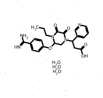 CCCN1C(=O)C(=O)N(C(CC(=O)O)c2cccnc2)CC1Oc1ccc(C(=N)N)cc1.O.O.O